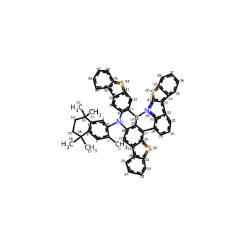 Cc1cc2c(cc1N1c3cc4c(cc3B3c5c1cc1c(sc6ccccc61)c5-c1cccc5c6c7ccccc7sc6n3c15)sc1ccccc14)C(C)(C)CCC2(C)C